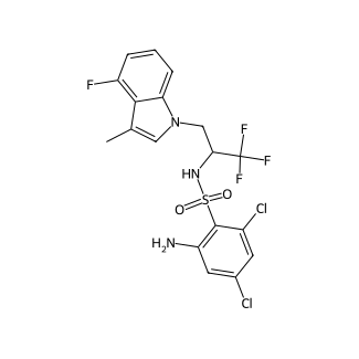 Cc1cn(CC(NS(=O)(=O)c2c(N)cc(Cl)cc2Cl)C(F)(F)F)c2cccc(F)c12